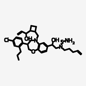 C=CCCCN(CC(O)c1ccc2c(c1)N(CC1CCC1C(O)C=C)CC(c1ccc(Cl)cc1CCC)CO2)SN